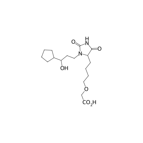 O=C(O)COCCCCC1C(=O)NC(=O)N1CCC(O)C1CCCC1